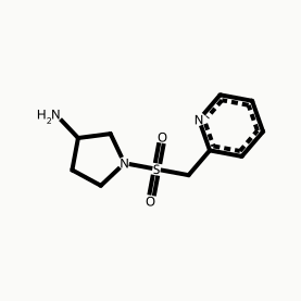 NC1CCN(S(=O)(=O)Cc2ccccn2)C1